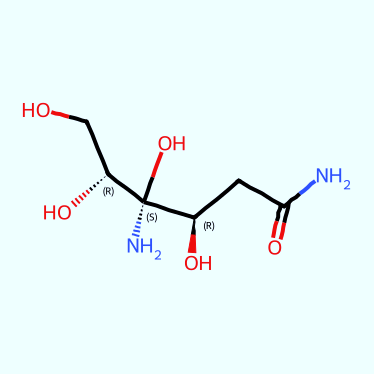 NC(=O)C[C@@H](O)[C@](N)(O)[C@H](O)CO